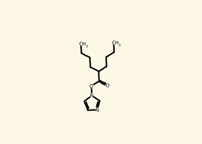 CCCCC(CCCC)C(=O)On1ccnc1